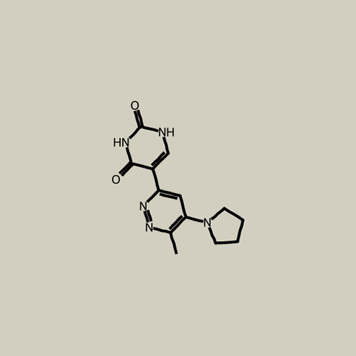 Cc1nnc(-c2c[nH]c(=O)[nH]c2=O)cc1N1CCCC1